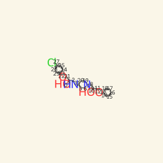 OC(CNC1CCN(CC(O)COc2ccccc2)CC1)COc1ccc(Cl)cc1